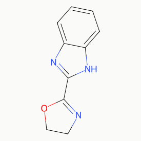 c1ccc2[nH]c(C3=NCCO3)nc2c1